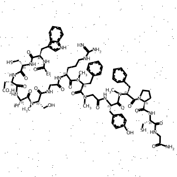 CCC(=O)N[C@H](Cc1c[nH]c2ccccc12)C(=O)N[C@@H](CS)C(=O)N[C@@H](CC(=O)O)C(=O)N[C@H](C(=O)N(C)[C@@H](CO)C(=O)NCC(=O)N[C@@H](CCCNC(=N)N)C(=O)N(C)[C@@H](Cc1ccccc1)C(=O)N(C)CC(=O)N[C@@H](Cc1ccc(O)cc1)C(=O)N(C)[C@@H](Cc1ccccc1)C(=O)N1CCC[C@H]1C(=O)N[C@@H](CS)C(=O)NCC(N)=O)C(C)C